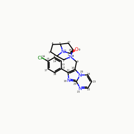 O=CN1C2CCC1CN(Cc1c(-c3ccc(Cl)cc3)nc3ncccn13)CC2